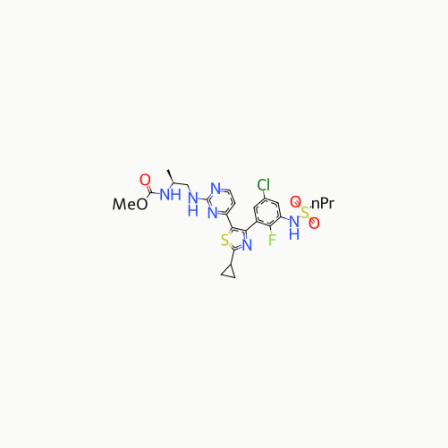 CCCS(=O)(=O)Nc1cc(Cl)cc(-c2nc(C3CC3)sc2-c2ccnc(NC[C@H](C)NC(=O)OC)n2)c1F